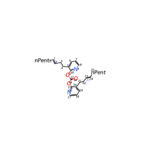 CCCCC/C=C/CCc1cccnc1OC(=O)Oc1ncccc1CC/C=C/CCCCC